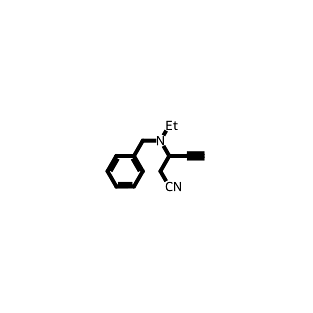 C#CC(CC#N)N(CC)Cc1ccccc1